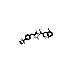 N[C@@H](Cc1ccc(-c2nccs2)cc1)C(=O)OC(=O)C(CS)Cc1ccccc1F